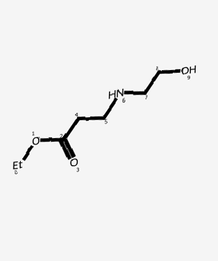 CCOC(=O)CCNCCO